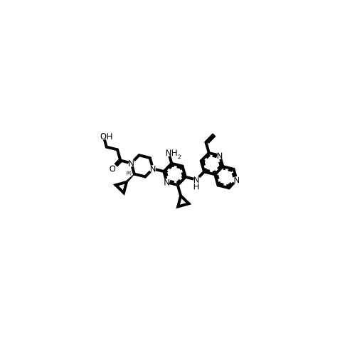 C=Cc1cc(Nc2cc(N)c(N3CCN(C(=O)CCO)[C@H](C4CC4)C3)nc2C2CC2)c2ccncc2n1